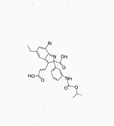 CCc1cc(Br)c2c(c1)=C(C=CC(=O)O)C(C(=O)O)(c1cccc(NC(=O)OC(C)C)c1)N=2